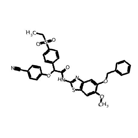 CCS(=O)(=O)c1ccc(C(Oc2ccc(C#N)cc2)C(=O)Nc2nc3cc(OCc4ccccc4)c(OC)cc3s2)cc1